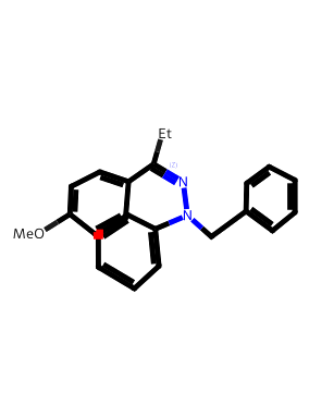 CC/C(=N/N(Cc1ccccc1)c1ccccc1)c1ccc(OC)cc1